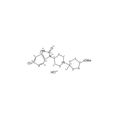 COC1CCC(C)(N2CCC(n3c(=O)[nH]c4cc(Cl)ccc43)CC2)CC1.Cl